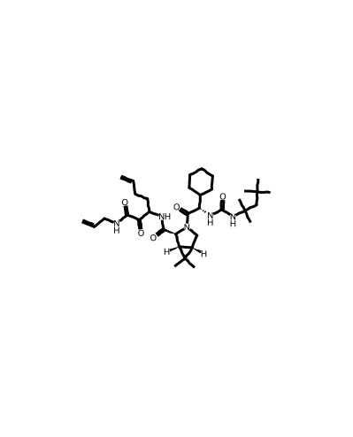 C=CCCC(NC(=O)[C@@H]1[C@@H]2[C@H](CN1C(=O)[C@@H](NC(=O)NC(C)(C)CC(C)(C)C)C1CCCCC1)C2(C)C)C(=O)C(=O)NCC=C